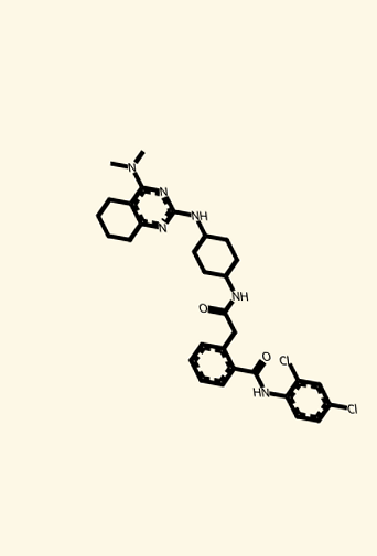 CN(C)c1nc(NC2CCC(NC(=O)Cc3ccccc3C(=O)Nc3ccc(Cl)cc3Cl)CC2)nc2c1CCCC2